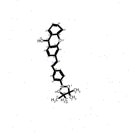 CC1(C)OB(c2ccc(/C=C/c3ccc4c(c3)Oc3ccccc3C4O)cc2)OC1(C)C